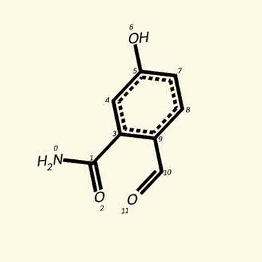 NC(=O)c1cc(O)ccc1C=O